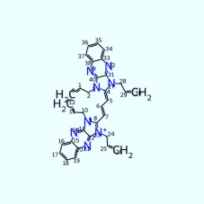 C=CCN1C(=CC=Cc2n(CC=C)c3nc4ccccc4nc3[n+]2CC=C)N(CC=C)c2nc3ccccc3nc21